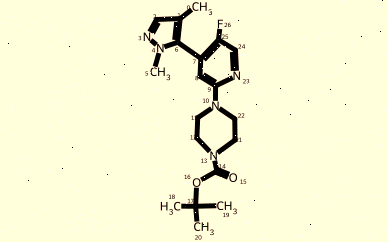 Cc1cnn(C)c1-c1cc(N2CCN(C(=O)OC(C)(C)C)CC2)ncc1F